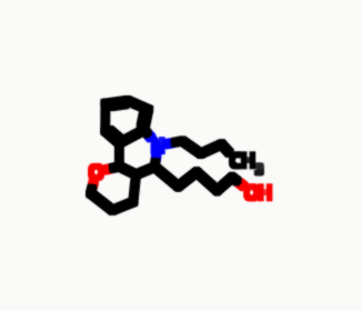 CCCCN1c2ccccc2C2OCCCC2C1CCCCO